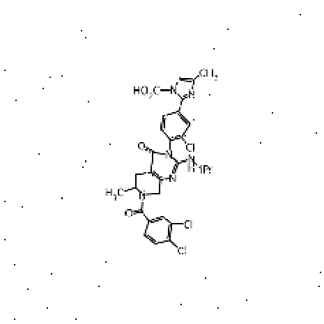 Cc1cn(C(=O)O)c(-c2ccc(-n3c(NC(C)C)nc4c(c3=O)CC(C)N(C(=O)c3ccc(Cl)c(Cl)c3)C4)c(Cl)c2)n1